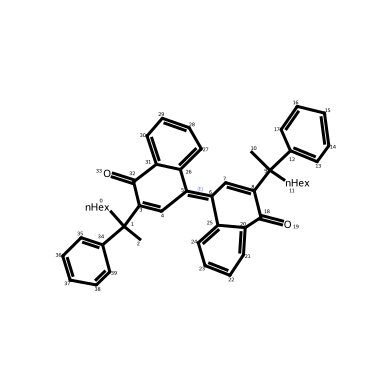 CCCCCCC(C)(C1=C/C(=C2/C=C(C(C)(CCCCCC)c3ccccc3)C(=O)c3ccccc32)c2ccccc2C1=O)c1ccccc1